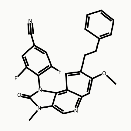 COc1cc2ncc3c(c2cc1CCc1ccccc1)n(-c1c(F)cc(C#N)cc1F)c(=O)n3C